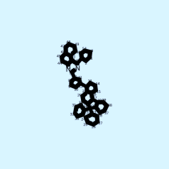 c1ccc(-c2nc(-c3cccc(-c4cccc5c6c(ccc45)C(c4ccccc4)(c4ccccc4)c4ccccc4-6)c3)nc3ccc4ccccc4c23)cc1